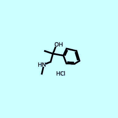 CNCC(C)(O)c1ccccc1.Cl